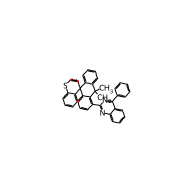 CC1(C)c2ccccc2C2(c3ccccc3Sc3ccccc32)c2cccc(-c3nc(-c4ccccc4)c4ccccc4n3)c21